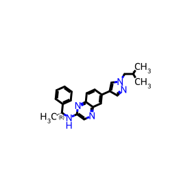 C[C](C)Cn1cc(-c2ccc3nc(N[C@H](C)c4ccccc4)cnc3c2)cn1